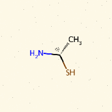 C[C@@H](N)S